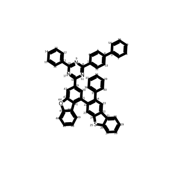 c1ccc(-c2ccc(-c3nc(-c4ccccc4)nc(-c4cc(-c5cc6sc7ccccc7c6cc5-c5ccccc5)c5c(c4)oc4ccccc45)n3)cc2)cc1